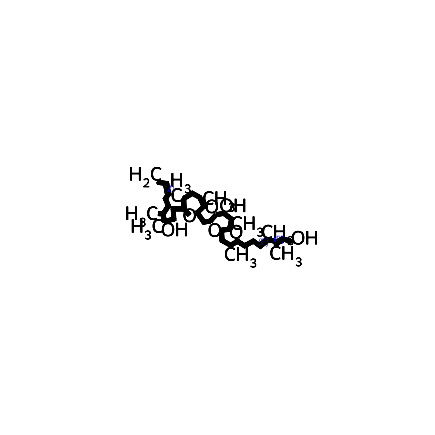 C=C/C=C\CCC(C)C(C)(O)CCC1OC2CC3OC4CC(C)C(CC/C=C(C)/C(C)=C/CO)OC4(C)CC(O)C3OC2(C)CCC1C